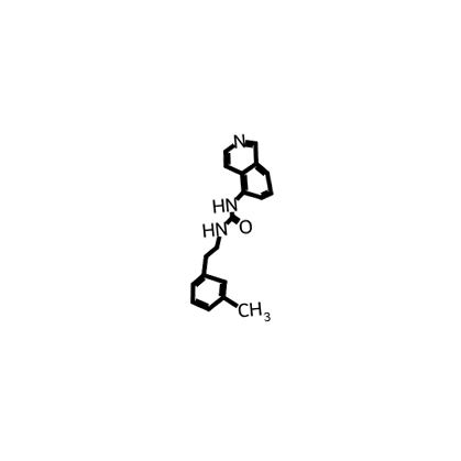 Cc1cccc(CCNC(=O)Nc2cccc3cnccc23)c1